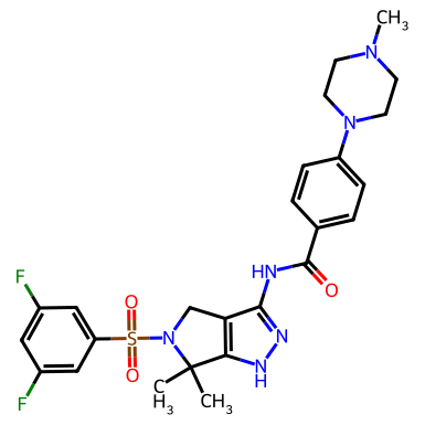 CN1CCN(c2ccc(C(=O)Nc3n[nH]c4c3CN(S(=O)(=O)c3cc(F)cc(F)c3)C4(C)C)cc2)CC1